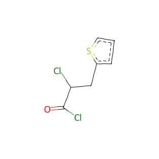 O=C(Cl)C(Cl)Cc1cccs1